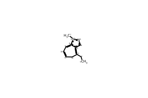 CCC1=c2cnn(C)c2=CC=CC1